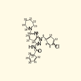 O=C(Nc1nn(Cc2ccc(Cl)cc2)c2nc(N3CCCCCC3)ccc12)c1ccccc1